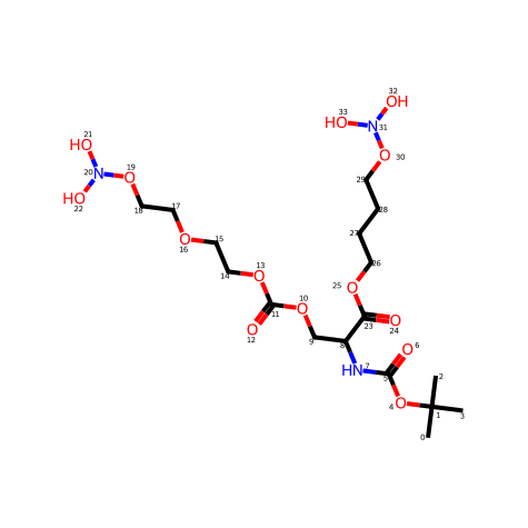 CC(C)(C)OC(=O)NC(COC(=O)OCCOCCON(O)O)C(=O)OCCCCON(O)O